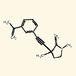 C=C(C)c1cccc(C#CC2(C)CCN(C)C2=C)c1